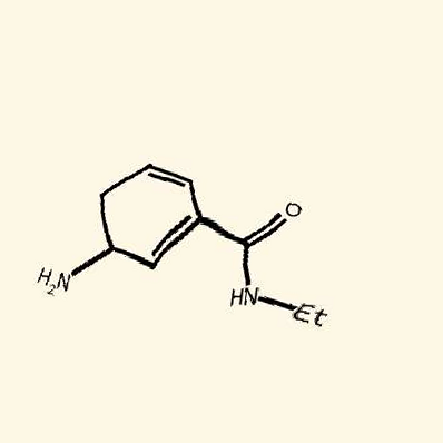 CCNC(=O)C1=CC(N)CC=C1